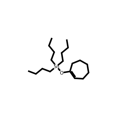 CCC[CH2][Sn]([CH2]CCC)([CH2]CCC)[O]C1=CCCCCC1